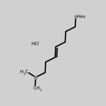 CCCCCCCCCC=CCCN(C)C.Cl